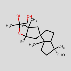 CC[C@]1(OC(C)(O)CO)C[C@]2(CCC3C2(C)CC[C@@]3(C)C=O)CC1(C)C